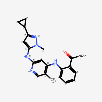 CNC(=O)c1ccccc1Nc1cc(Nc2cc(C3CC3)nn2C)ncc1C(F)(F)F